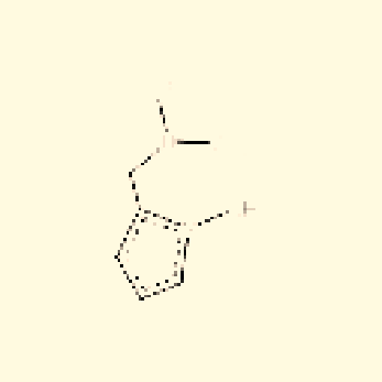 CCCCN(C)Cc1cccn1C